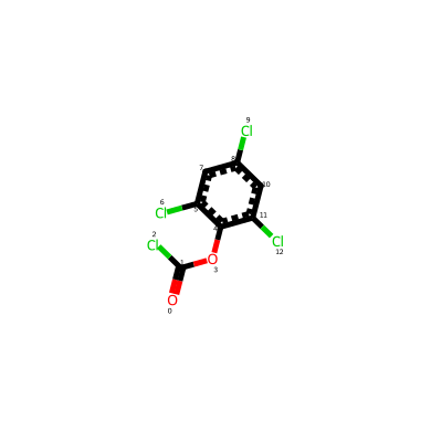 O=C(Cl)Oc1c(Cl)cc(Cl)cc1Cl